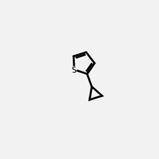 c1csc(C2CC2)c1